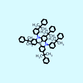 CC(C)(c1ccccc1)c1cccc(N2c3cc(C(C)(C)c4ccccc4)ccc3B3c4ccc(C(C)(C)c5ccccc5)cc4N(c4cccc(C(C)(C)c5ccccc5)c4)c4cc(C(C)(C)c5ccccc5)cc2c43)c1